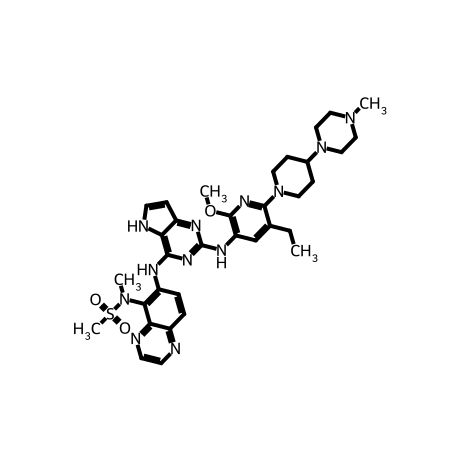 CCc1cc(Nc2nc(Nc3ccc4nccnc4c3N(C)S(C)(=O)=O)c3[nH]ccc3n2)c(OC)nc1N1CCC(N2CCN(C)CC2)CC1